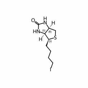 O=C1N[C@H]2[C@H](CS[C@H]2CCCCI)N1